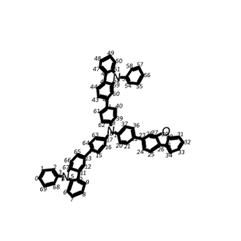 c1ccc(-n2c3ccccc3c3cc(-c4ccc(N(c5ccc(-c6ccc7c(c6)oc6ccccc67)cc5)c5ccc(-c6ccc7c8ccccc8n(-c8ccccc8)c7c6)cc5)cc4)ccc32)cc1